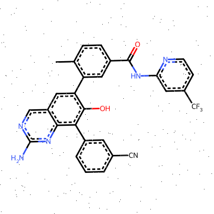 Cc1ccc(C(=O)Nc2cc(C(F)(F)F)ccn2)cc1-c1cc2cnc(N)nc2c(-c2cccc(C#N)c2)c1O